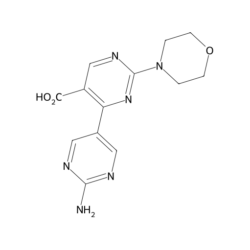 Nc1ncc(-c2nc(N3CCOCC3)ncc2C(=O)O)cn1